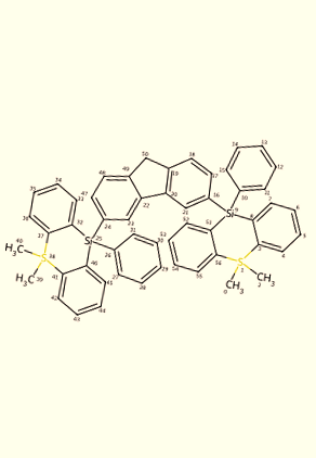 CS1(C)c2ccccc2[Si](c2ccccc2)(c2ccc3c(c2)-c2cc([Si]4(c5ccccc5)c5ccccc5S(C)(C)c5ccccc54)ccc2C3)c2ccccc21